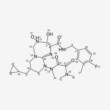 Cc1cc(CNC(=O)C2=C(O)[NH+]([O-])CN3CC(CC4CC4)CN(N(C)C(=O)C(=O)N(C)C)C3=N2)ccc1F